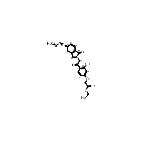 CCOC(=O)COc1ccc(C(=O)CN2CC3=C(C=CC(=C=NSC)C3)C2=O)c(O)c1